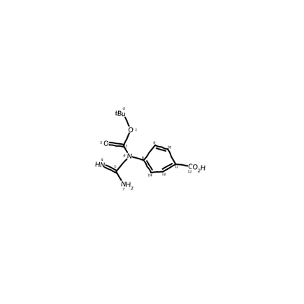 CC(C)(C)OC(=O)N(C(=N)N)c1ccc(C(=O)O)cc1